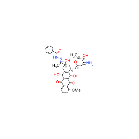 COc1cccc2c1C(=O)C1=C(C2=O)C(O)C2=C(C1O)[C@@H](C[C@@H]1C[C@H](N)[C@@H](O)[C@H](C)O1)C[C@@](O)(/C(C)=N/NC(=O)c1ccccc1)C2